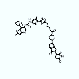 Cc1cc2ncc(NC(=O)Nc3cnc(-c4noc(CCCCC(=O)N5CCN(c6ccc7c(c6)CN(C6CCC(=O)NC6=O)C7=O)CC5)n4)c(C)c3)c(C3CCCO3)n2n1